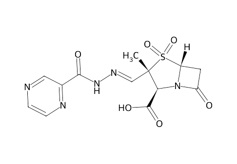 C[C@]1(/C=N/NC(=O)c2cnccn2)[C@H](C(=O)O)N2C(=O)C[C@H]2S1(=O)=O